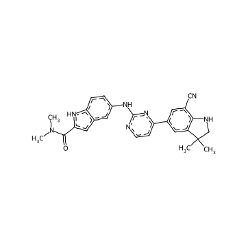 CN(C)C(=O)c1cc2cc(Nc3nccc(-c4cc(C#N)c5c(c4)C(C)(C)CN5)n3)ccc2[nH]1